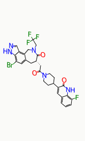 O=C(C[C@@H]1Cc2cc(Br)c3[nH]ncc3c2CN(CC(F)(F)F)C1=O)N1CCC(c2cc3cccc(F)c3[nH]c2=O)CC1